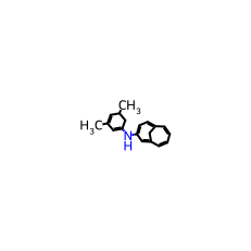 CC1=CC(C)CC(NC2=CC=C3C=CC=CC(=C2)C3)=C1